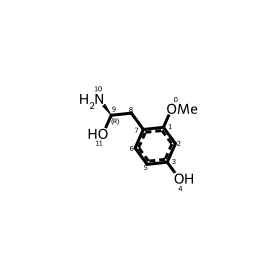 COc1cc(O)ccc1C[C@H](N)O